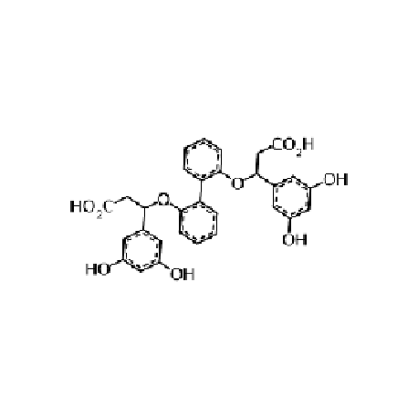 O=C(O)CC(Oc1ccccc1-c1ccccc1OC(CC(=O)O)c1cc(O)cc(O)c1)c1cc(O)cc(O)c1